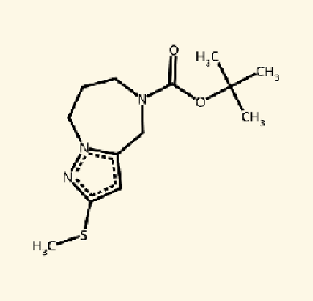 CSc1cc2n(n1)CCCN(C(=O)OC(C)(C)C)C2